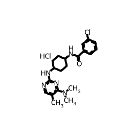 Cc1cnc(NC2CCC(NC(=O)c3cccc(Cl)c3)CC2)nc1N(C)C.Cl